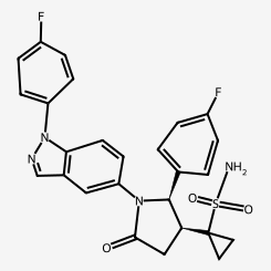 NS(=O)(=O)C1([C@H]2CC(=O)N(c3ccc4c(cnn4-c4ccc(F)cc4)c3)[C@H]2c2ccc(F)cc2)CC1